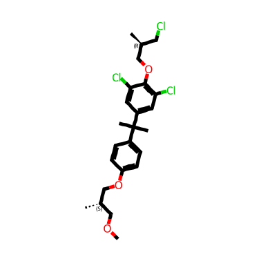 COC[C@H](C)COc1ccc(C(C)(C)c2cc(Cl)c(OC[C@@H](C)CCl)c(Cl)c2)cc1